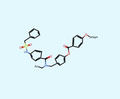 CCCCCCCOc1ccc(C(=O)Oc2ccc(CN(CC(C)=O)C(=O)c3ccc(NS(=O)(=O)Cc4ccccc4)cc3)cc2)cc1